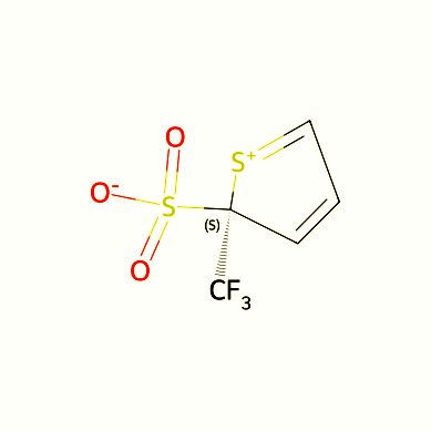 O=S(=O)([O-])[C@]1(C(F)(F)F)C=CC=[S+]1